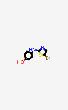 Oc1ccc(Nc2ncc(Br)s2)cc1